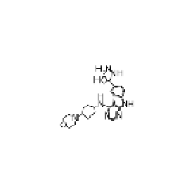 NNC(O)c1ccc2[nH]c3ncnc(N[C@H]4CC[C@H](N5CCOCC5)CC4)c3c2c1